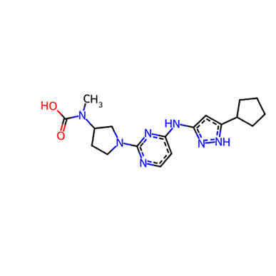 CN(C(=O)O)C1CCN(c2nccc(Nc3cc(C4CCCC4)[nH]n3)n2)C1